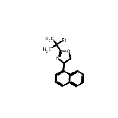 CCC(C)(C)C1=NC(c2cccc3ccccc23)CO1